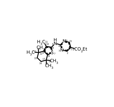 CCOC(=O)c1cnc(Nc2sc3c(c2C)C(C)(C)CCC3(C)C)nc1